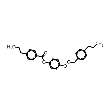 CCCc1ccc(COOc2ccc(OC(=O)c3ccc(CCC)cc3)cc2)cc1